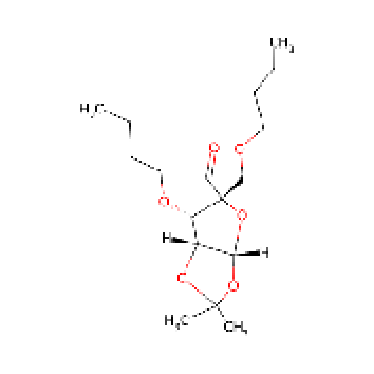 CCCCOC[C@@]1(C=O)O[C@@H]2OC(C)(C)O[C@@H]2[C@@H]1OCCCC